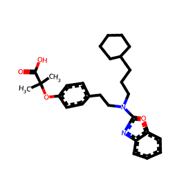 CC(C)(Oc1ccc(CCN(CCCC2CCCCC2)c2nc3ccccc3o2)cc1)C(=O)O